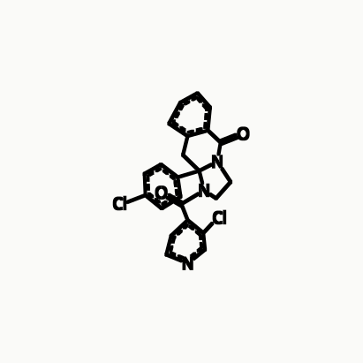 O=C(c1ccncc1Cl)N1CCN2C(=O)c3ccccc3CC12c1ccc(Cl)cc1